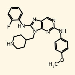 COc1ccc(Nc2ncc3nc(Nc4ccccc4F)n(CC4CCNCC4)c3n2)cc1